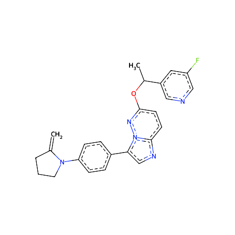 C=C1CCCN1c1ccc(-c2cnc3ccc(OC(C)c4cncc(F)c4)nn23)cc1